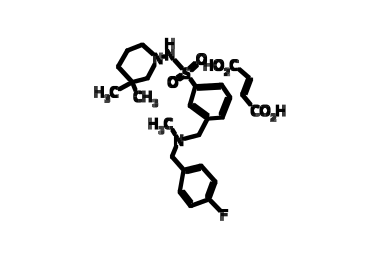 CN(Cc1ccc(F)cc1)Cc1cccc(S(=O)(=O)NN2CCCC(C)(C)C2)c1.O=C(O)C=CC(=O)O